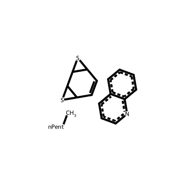 C1=CC2SC2C2SC12.CCCCCC.c1ccc2ncccc2c1